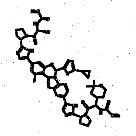 COC(=O)NC(C(=O)N1CCC[C@H]1c1ncc(-c2ccc3c(c2)cc2n3C(c3ccc(C4CC4)s3)Oc3cc(-c4cnc([C@@H]5CCCN5C(=O)[C@@H](NC(=O)OC)C(C)C)[nH]4)cc(F)c3-2)[nH]1)C1CCOC(C)(C)C1